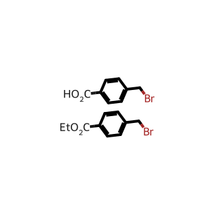 CCOC(=O)c1ccc(CBr)cc1.O=C(O)c1ccc(CBr)cc1